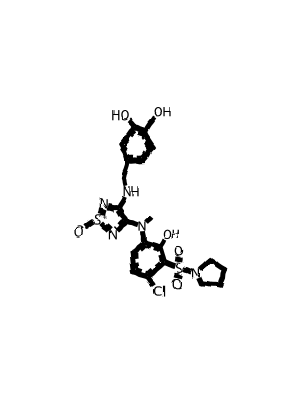 CN(c1ccc(Cl)c(S(=O)(=O)N2CCCC2)c1O)c1n[s+]([O-])nc1NCc1ccc(O)c(O)c1